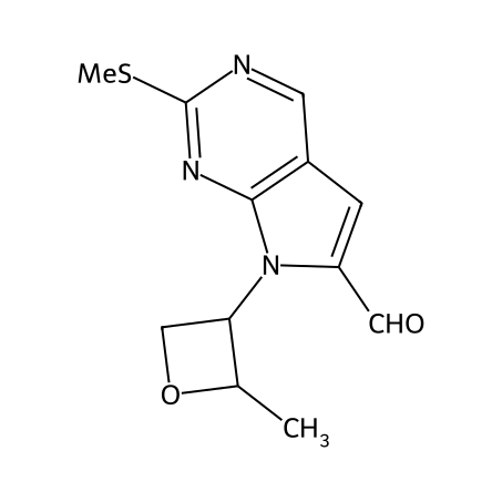 CSc1ncc2cc(C=O)n(C3COC3C)c2n1